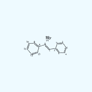 C(=Cc1ccccc1)c1ccccc1.[Rb]